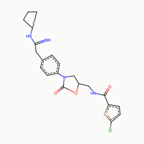 N=C(Cc1ccc(N2CC(CNC(=O)c3ccc(Cl)s3)OC2=O)cc1)NC1CCCC1